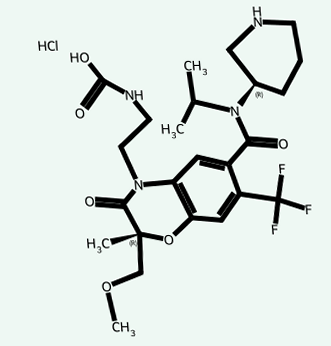 COC[C@@]1(C)Oc2cc(C(F)(F)F)c(C(=O)N(C(C)C)[C@@H]3CCCNC3)cc2N(CCNC(=O)O)C1=O.Cl